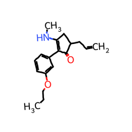 C=CCC1CC(NC)=C(c2cccc(OCCC)c2)C1=O